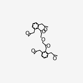 c1cc(CC2CO2)c(C2OC2COCC2OC2c2c(CC3CO3)cccc2CC2CO2)c(CC2CO2)c1